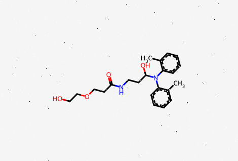 Cc1ccccc1N(c1ccccc1C)C(O)CCNC(=O)CCOCCO